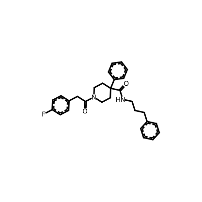 O=C(Cc1ccc(F)cc1)N1CCC(C(=O)NCCCc2ccccc2)(c2ccccc2)CC1